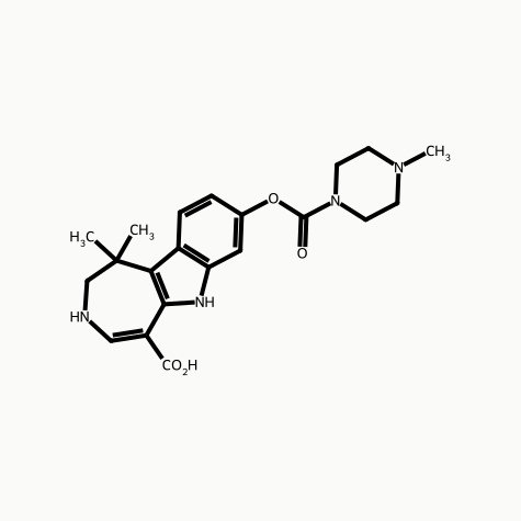 CN1CCN(C(=O)Oc2ccc3c4c([nH]c3c2)C(C(=O)O)=CNCC4(C)C)CC1